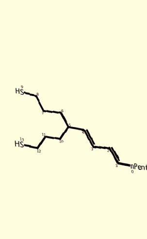 CCCCCC=CC=CC(CCCS)CCCS